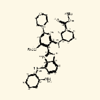 COc1nc(N2CCOCC2)nc(N[C@@H]2CCCN(C(=O)OC(C)(C)C)C2)c1-c1nc2c(N[C@@H]3CCCC[C@@H]3N)cccc2s1